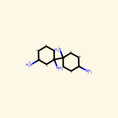 NC1CCC(N)(C2(N)CCCC(N)C2)CC1